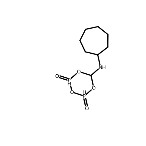 O=[PH]1OC(NC2CCCCCC2)O[PH](=O)O1